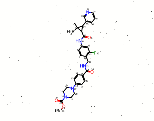 BC1(C)C(C(=O)Nc2ccc(CNC(=O)c3ccc(N4CCN(C(=O)OC(C)(C)C)CC4)cc3)c(F)c2)C1c1cccnc1